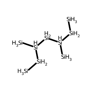 [SiH3][SiH2][SiH]([SiH3])[SiH2][SiH]([SiH3])[SiH2][SiH3]